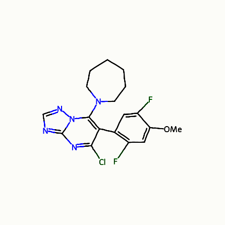 COc1cc(F)c(-c2c(Cl)nc3ncnn3c2N2CCCCCC2)cc1F